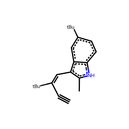 C#C/C(=C\c1c(C)[nH]c2ccc(C(C)(C)C)cc12)C(C)(C)C